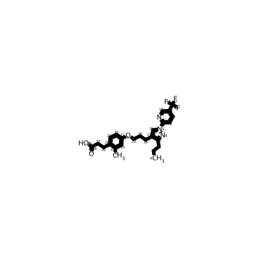 CCCc1nn(-c2ccc(C(F)(F)F)cn2)cc1CCCOc1ccc(CCC(=O)O)c(C)c1